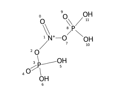 O=[N+](OP(=O)(O)O)OP(=O)(O)O